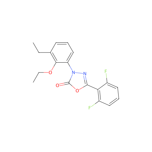 CCOc1c(CC)cccc1-n1nc(-c2c(F)cccc2F)oc1=O